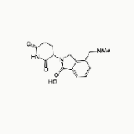 CNCc1cccc2c1CN(C1CCC(=O)NC1=O)C2=O.Cl